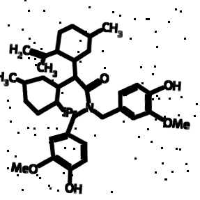 C=C(C)C1CCC(C)CC1C(C(=O)N(Cc1ccc(O)c(OC)c1)Cc1ccc(O)c(OC)c1)C1CC(C)CCC1C(C)C